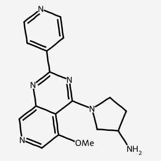 COc1cncc2nc(-c3ccncc3)nc(N3CCC(N)C3)c12